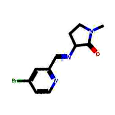 CN1CCC(/N=C/c2cc(Br)ccn2)C1=O